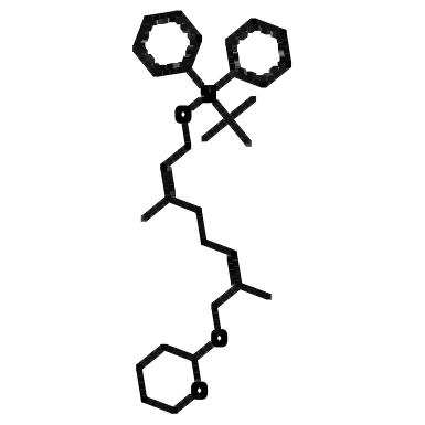 CC(=CCO[Si](c1ccccc1)(c1ccccc1)C(C)(C)C)CCC=C(C)COC1CCCCO1